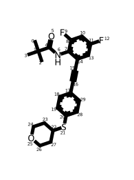 CC(C)(C)C(=O)Nc1c(F)cc(F)cc1C#Cc1ccc(SC2CCOCC2)cc1